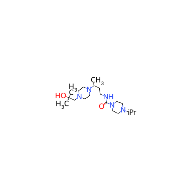 CC(C)N1CCN(C(=O)NCCC(C)N2CCN(CC(C)(C)O)CC2)CC1